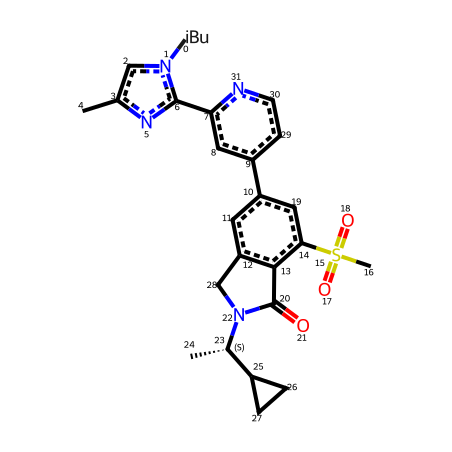 CCC(C)n1cc(C)nc1-c1cc(-c2cc3c(c(S(C)(=O)=O)c2)C(=O)N([C@@H](C)C2CC2)C3)ccn1